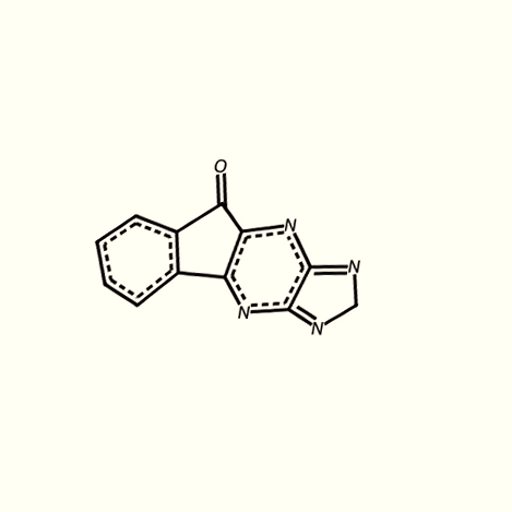 O=C1c2ccccc2-c2nc3c(nc21)=NCN=3